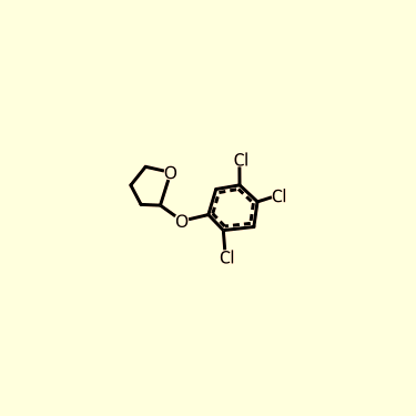 Clc1cc(Cl)c(OC2CCCO2)cc1Cl